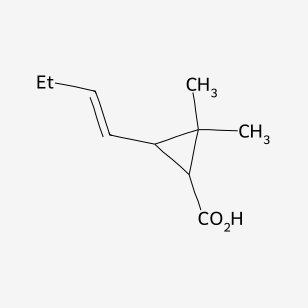 CCC=CC1C(C(=O)O)C1(C)C